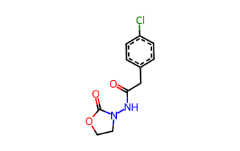 O=C(Cc1ccc(Cl)cc1)NN1CCOC1=O